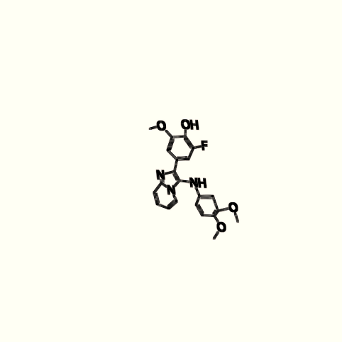 COc1ccc(Nc2c(-c3cc(F)c(O)c(OC)c3)nc3ccccn23)cc1OC